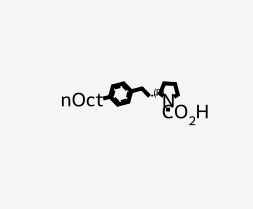 CCCCCCCCc1ccc(CC[C@@H]2CCCN2C(=O)O)cc1